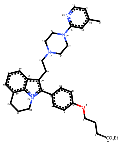 CCOC(=O)CCCOc1ccc(-c2c(CCN3CCN(c4cc(C)ccn4)CC3)c3cccc4c3n2CCC4)cc1